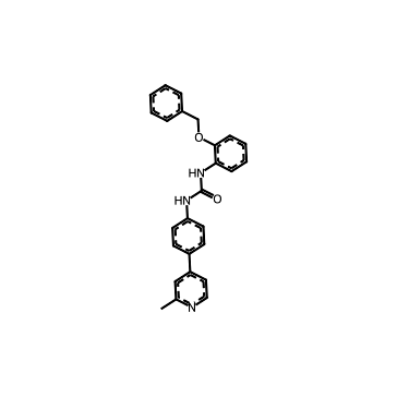 Cc1cc(-c2ccc(NC(=O)Nc3ccccc3OCc3ccccc3)cc2)ccn1